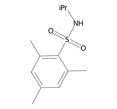 Cc1cc(C)c(S(=O)(=O)NC(C)C)c(C)c1